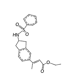 CCOC(=O)C=C(C)c1ccc2c(c1)CC(NS(=O)(=O)c1ccccc1)C2